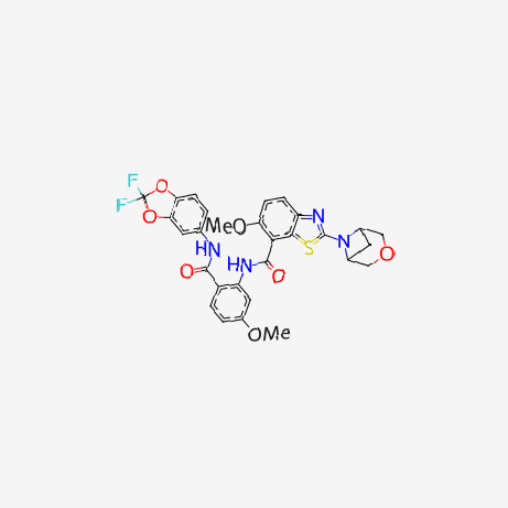 COc1ccc(C(=O)Nc2ccc3c(c2)OC(F)(F)O3)c(NC(=O)c2c(OC)ccc3nc(N4C5COCC4C5)sc23)c1